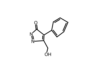 O=C1N=NC(CO)=C1c1ccccc1